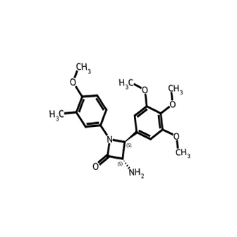 COc1ccc(N2C(=O)[C@@H](N)[C@@H]2c2cc(OC)c(OC)c(OC)c2)cc1C